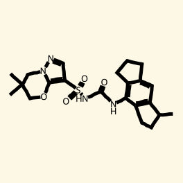 CC1CCc2c1cc1c(c2NC(=O)NS(=O)(=O)c2cnn3c2OCC(C)(C)C3)CCC1